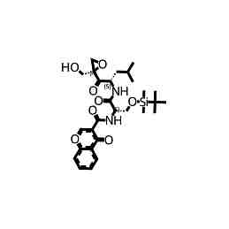 CC(C)C[C@H](NC(=O)[C@H](CO[Si](C)(C)C(C)(C)C)NC(=O)c1coc2ccccc2c1=O)C(=O)[C@@]1(CO)CO1